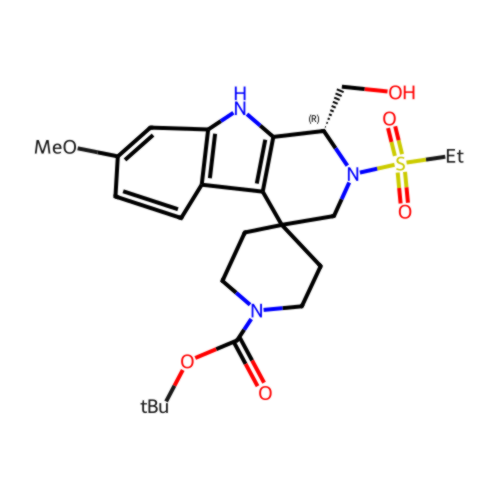 CCS(=O)(=O)N1CC2(CCN(C(=O)OC(C)(C)C)CC2)c2c([nH]c3cc(OC)ccc23)[C@@H]1CO